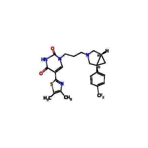 Cc1nc(-c2cn(CCCN3C[C@@H]4C[C@]4(c4ccc(C(F)(F)F)cc4)C3)c(=O)[nH]c2=O)sc1C